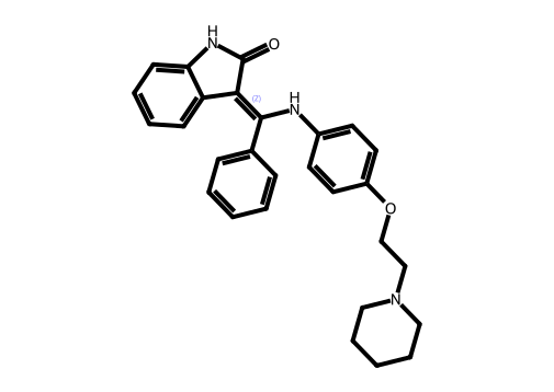 O=C1Nc2ccccc2/C1=C(/Nc1ccc(OCCN2CCCCC2)cc1)c1ccccc1